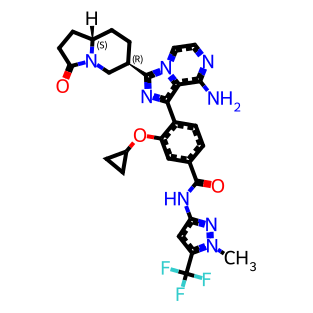 Cn1nc(NC(=O)c2ccc(-c3nc([C@@H]4CC[C@H]5CCC(=O)N5C4)n4ccnc(N)c34)c(OC3CC3)c2)cc1C(F)(F)F